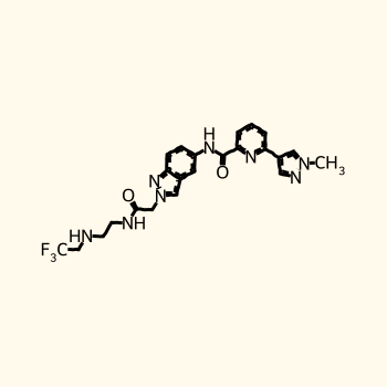 Cn1cc(-c2cccc(C(=O)Nc3ccc4nn(CC(=O)NCCNCC(F)(F)F)cc4c3)n2)cn1